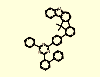 CC1(C)c2c(-c3ccc(-c4nc(-c5ccccc5)nc(-c5ccccc5-c5ccccc5)n4)cc3)cccc2-c2ccc3oc4ccccc4c3c21